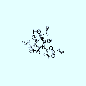 C=CC(=O)OC(C=C)n1c(=O)n(C(O)C=C)c(=O)n(C(O)C=C)c1=O